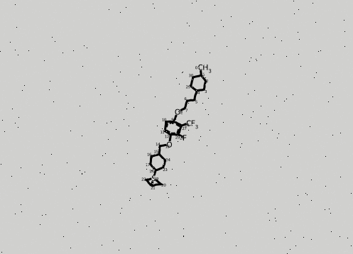 CC1CCC(CCCOc2ccc(OCC3CCC(S45CC4C5)CC3)c(F)c2C(F)(F)F)CC1